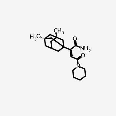 C[C@]12CC3CC(C(=CC(=O)N4CCCCC4)C(N)=O)(C1)C[C@@](C)(C3)C2